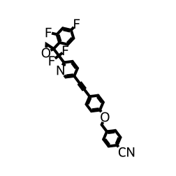 N#Cc1ccc(COc2ccc(C#Cc3ccc(C(F)(F)C4(c5ccc(F)cc5F)CO4)nc3)cc2)cc1